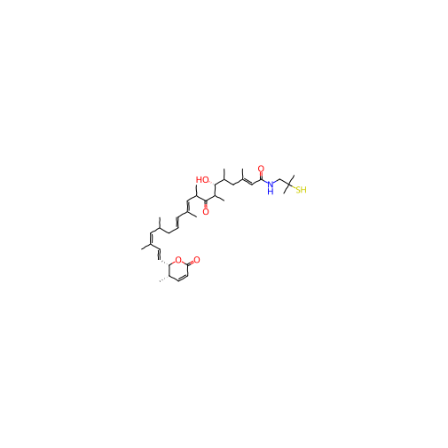 CC(=C/C(C)C/C=C/C(C)=C/C(C)C(=O)C(C)[C@H](O)C(C)C/C(C)=C/C(=O)NCC(C)(C)S)/C=C/[C@@H]1OC(=O)C=C[C@@H]1C